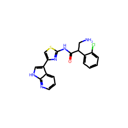 NCC(C(=O)Nc1nc(-c2c[nH]c3ncccc23)cs1)c1ccccc1Cl